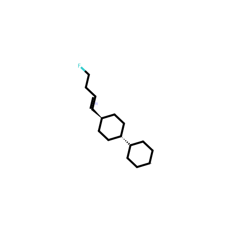 FCC/C=C/[C@H]1CC[C@H](C2CC[CH]CC2)CC1